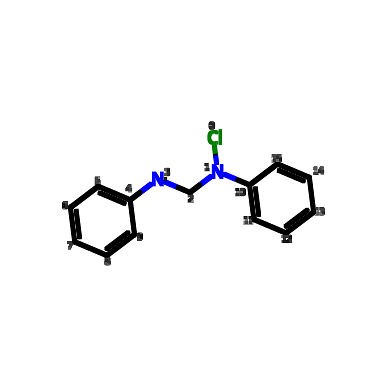 ClN(C[N]c1ccccc1)c1ccccc1